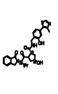 Cc1ncsc1-c1ccc(CNC(=O)[C@@H]2C[C@@H](O)CC2C(=O)[C@H](C(C)C)N2Cc3ccccc3C2=O)c(O)c1